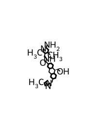 Cc1cnn(Cc2ccc3c(c2)Cc2cc(C(=O)NCc4c(C)cc(N)nc4C)ccc2[C@H]3CO)c1